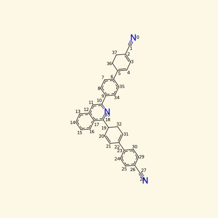 N#CC1=CC=C(c2ccc(-c3cc4ccccc4c(C4C=CC(c5ccc(C#N)cc5)=CC4)n3)cc2)CC1